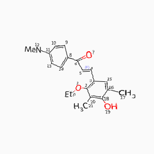 CCOc1c(/C=C/C(=O)c2ccc(NC)cc2)cc(C)c(O)c1C